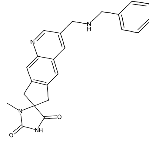 CN1C(=O)NC(=O)C12Cc1cc3cc(CNCc4ccccc4)cnc3cc1C2